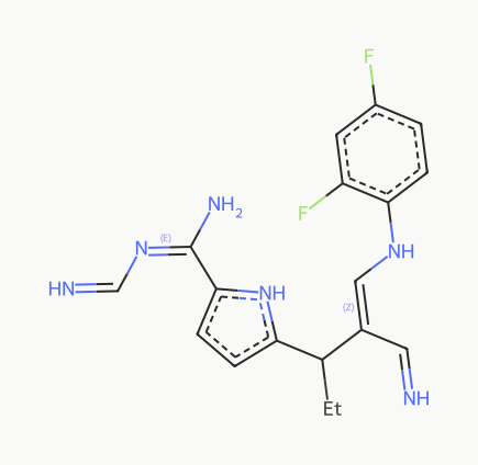 CCC(/C(C=N)=C/Nc1ccc(F)cc1F)c1ccc(/C(N)=N\C=N)[nH]1